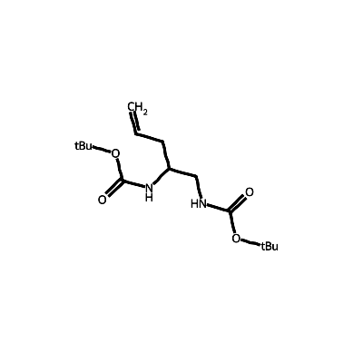 C=CCC(CNC(=O)OC(C)(C)C)NC(=O)OC(C)(C)C